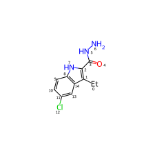 CCc1c(C(=O)NN)[nH]c2ccc(Cl)cc12